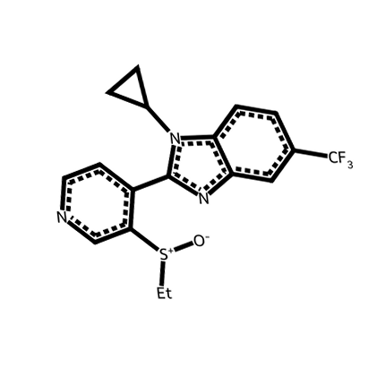 CC[S+]([O-])c1cnccc1-c1nc2cc(C(F)(F)F)ccc2n1C1CC1